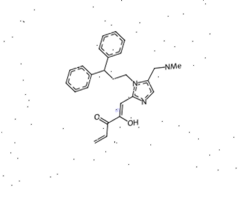 C=CC(=O)/C(O)=C/c1ncc(CNC)n1CCC(c1ccccc1)c1ccccc1